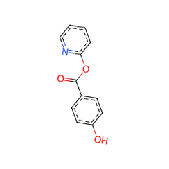 O=C(Oc1ccccn1)c1ccc(O)cc1